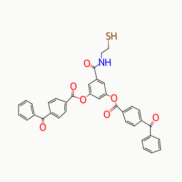 O=C(NCCS)c1cc(OC(=O)c2ccc(C(=O)c3ccccc3)cc2)cc(OC(=O)c2ccc(C(=O)c3ccccc3)cc2)c1